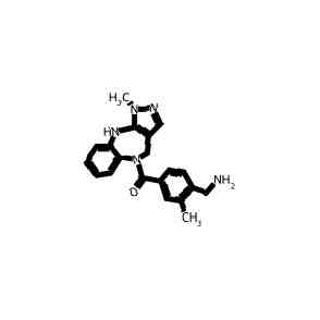 Cc1cc(C(=O)N2Cc3cnn(C)c3Nc3ccccc32)ccc1CN